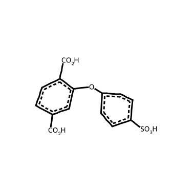 O=C(O)c1ccc(C(=O)O)c(Oc2ccc(S(=O)(=O)O)cc2)c1